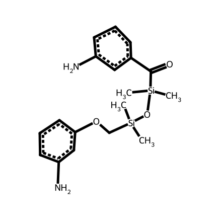 C[Si](C)(COc1cccc(N)c1)O[Si](C)(C)C(=O)c1cccc(N)c1